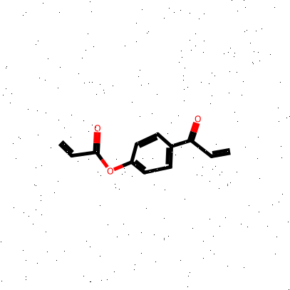 C=CC(=O)Oc1ccc(C(=O)C=C)cc1